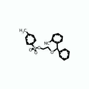 Cc1ccc(S(=O)(=O)OCCOC(c2ccccc2)c2ccccc2C#N)cc1